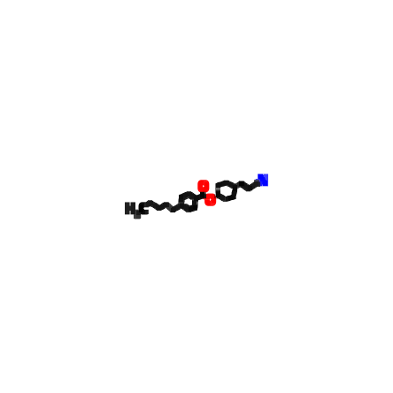 CCCCCc1ccc(C(=O)O[C@H]2CC[C@H](C=CC#N)CC2)cc1